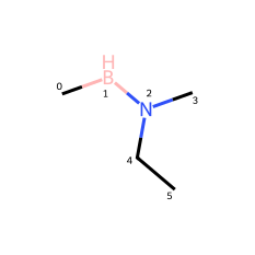 CBN(C)CC